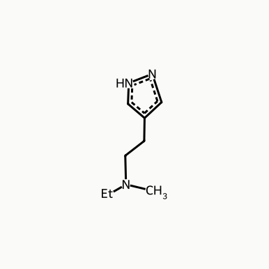 CCN(C)CCc1cn[nH]c1